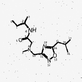 CCC(C)NC(=O)CN(C)Cc1noc(CC(C)C)n1